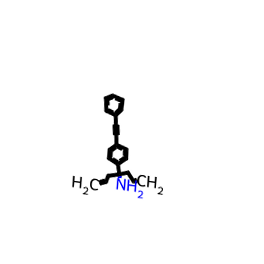 C=CCC(N)(CC=C)c1ccc(C#Cc2ccccc2)cc1